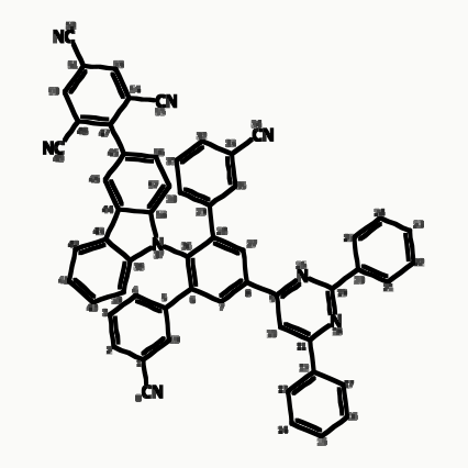 N#Cc1cccc(-c2cc(-c3cc(-c4ccccc4)nc(-c4ccccc4)n3)cc(-c3cccc(C#N)c3)c2-n2c3ccccc3c3cc(-c4c(C#N)cc(C#N)cc4C#N)ccc32)c1